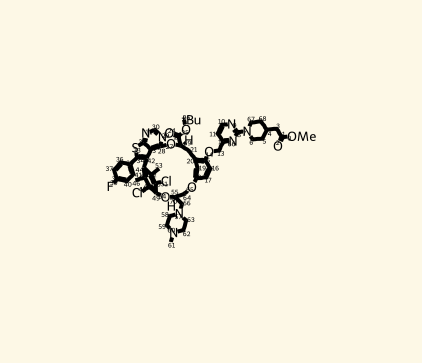 COC(=O)CC1CCN(c2nccc(COc3ccc4cc3C[C@H](C(=O)OC(C)(C)C)Oc3ncnc5sc(-c6ccc(F)cc6)c(c35)-c3c(C)c(Cl)c(c(Cl)c3C)O[C@H](CN3CCN(C)CC3)CO4)n2)CC1